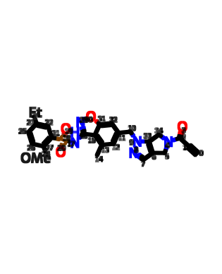 C#CC(=O)N1Cc2cnn(Cc3cc(C)c4c(NS(=O)(=O)c5cc(CC)ccc5OC)noc4c3)c2C1